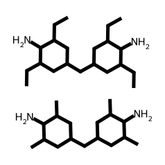 CC1CC(CC2CC(C)C(N)C(C)C2)CC(C)C1N.CCC1CC(CC2CC(CC)C(N)C(CC)C2)CC(CC)C1N